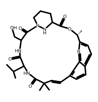 CC(C)C1NC(=O)C(C)(C)/C=C/c2ccc3ccc(nc3c2)[C@@H](C)OC(=O)C2CCCN(N2)C(=O)C(CO)NC1=O